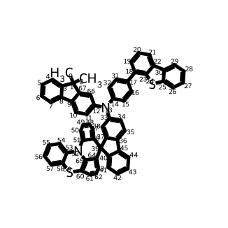 CC1(C)c2ccccc2-c2ccc(N(c3ccc(-c4cccc5c4sc4ccccc45)cc3)c3ccc4c(c3)C3(c5ccccc5-4)c4ccccc4N4c5ccccc5Sc5cccc3c54)cc21